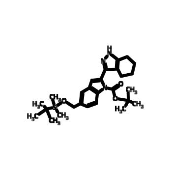 CC(C)(C)OC(=O)n1c(-c2n[nH]c3c2CCCC3)cc2cc(CO[Si](C)(C)C(C)(C)C)ccc21